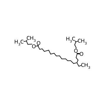 CCC(CCCCCCCCCCCCCC(=O)OCCC(C)C)CCC(=O)OCCC(C)C